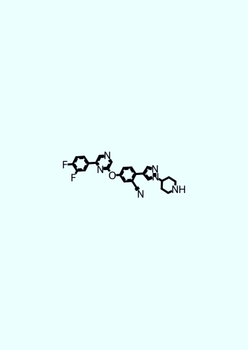 N#Cc1cc(Oc2cncc(-c3ccc(F)c(F)c3)n2)ccc1-c1cnn(C2CCNCC2)c1